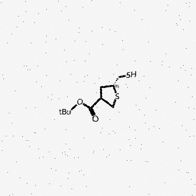 CC(C)(C)OC(=O)C1CS[C@@H](CS)C1